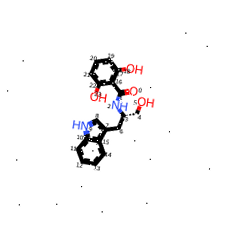 O=C(N[C@H](CO)Cc1c[nH]c2ccccc12)c1c(O)cccc1O